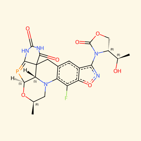 C[C@@H]1CN2c3c(cc4c(N5C(=O)OC[C@@H]5[C@@H](C)O)noc4c3F)CC34C(=O)NC(=O)NC3=P[C@H](O1)[C@@H]24